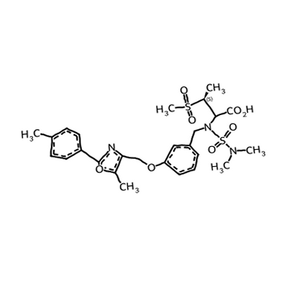 Cc1ccc(-c2nc(COc3cccc(CN(C(C(=O)O)[C@H](C)S(C)(=O)=O)S(=O)(=O)N(C)C)c3)c(C)o2)cc1